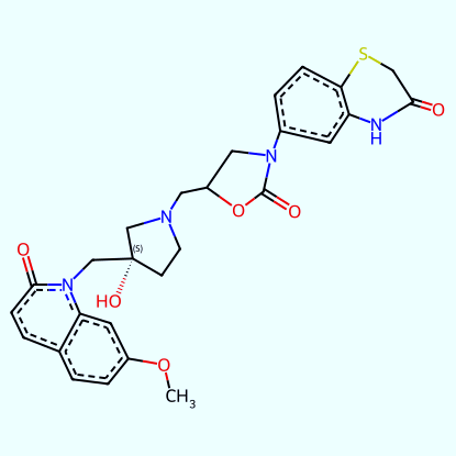 COc1ccc2ccc(=O)n(C[C@]3(O)CCN(CC4CN(c5ccc6c(c5)NC(=O)CS6)C(=O)O4)C3)c2c1